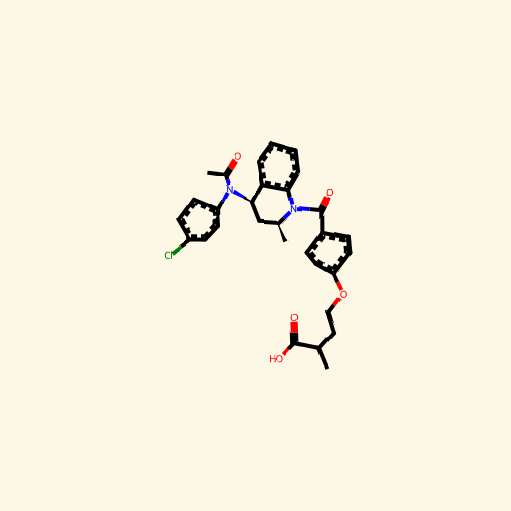 CC(=O)N(c1ccc(Cl)cc1)[C@@H]1C[C@H](C)N(C(=O)c2ccc(OCCC(C)C(=O)O)cc2)c2ccccc21